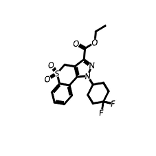 CCOC(=O)c1nn(C2CCC(F)(F)CC2)c2c1CS(=O)(=O)c1ccccc1-2